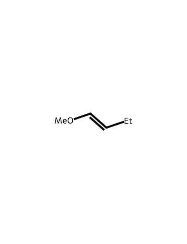 [CH2]OC=CCC